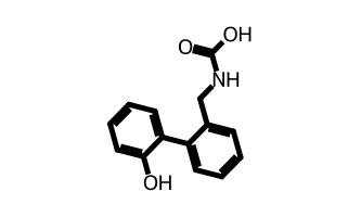 O=C(O)NCc1ccccc1-c1ccccc1O